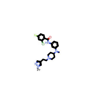 CC(C)n1cc(CCN2CCC(N(C)c3cccc(NC(=O)c4ccc(F)cc4Cl)c3)CC2)cn1